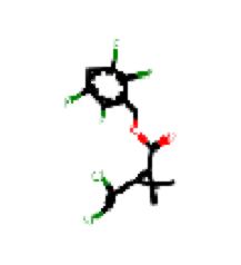 CC1(C)C(C(=O)OCc2c(F)c(F)cc(F)c2F)C1/C(Cl)=C/Cl